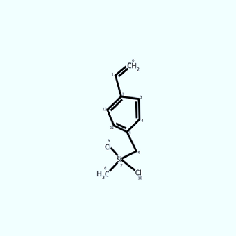 C=Cc1ccc(C[Si](C)(Cl)Cl)cc1